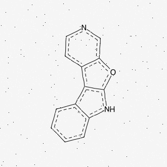 c1ccc2c(c1)[nH]c1oc3cnccc3c12